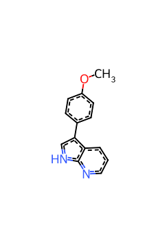 COc1ccc(-c2c[nH]c3ncccc23)cc1